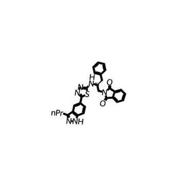 CCCc1n[nH]c2ccc(-c3nnc(N[C@@H](Cc4ccccc4)CN4C(=O)c5ccccc5C4=O)s3)cc12